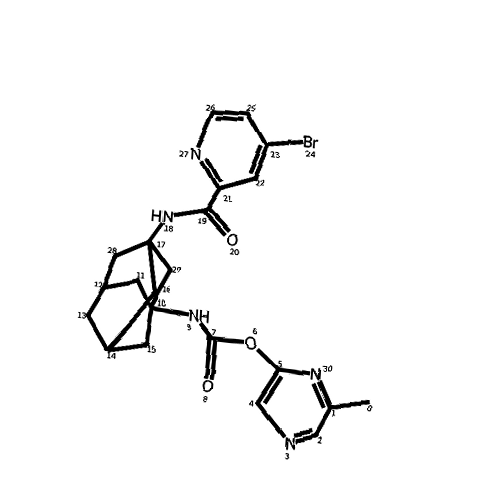 Cc1cncc(OC(=O)NC23CC4CC(C2)CC(NC(=O)c2cc(Br)ccn2)(C4)C3)n1